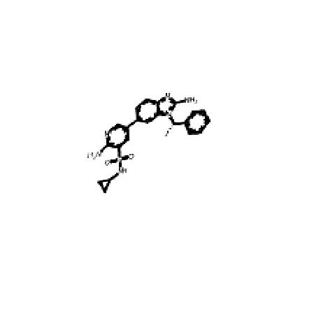 C[C@@H](c1ccccc1)n1c(N)nc2ccc(-c3cnc(N)c(S(=O)(=O)NC4CC4)c3)cc21